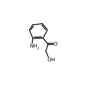 Nc1[c]cccc1C(=O)CO